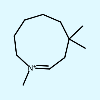 C/[N+]1=C/CC(C)(C)CCCCC1